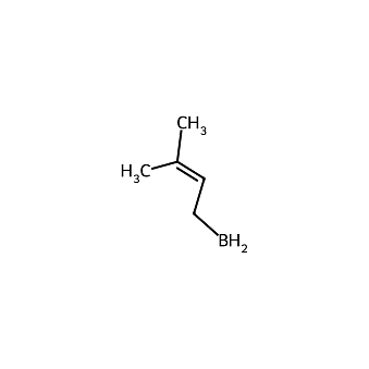 BCC=C(C)C